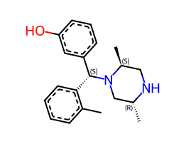 Cc1ccccc1[C@H](c1cccc(O)c1)N1C[C@@H](C)NC[C@@H]1C